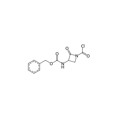 O=C(NC1CN(C(=O)Cl)C1=O)OCc1ccccc1